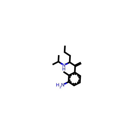 C=C(c1cccc(N)c1C)C(CCC)NC(C)C